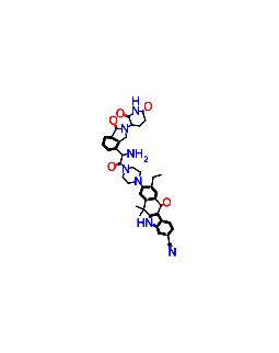 CCc1cc2c(cc1N1CCN(C(=O)C(N)c3cccc4c3CN(C3CCC(=O)NC3=O)C4=O)CC1)C(C)(C)c1[nH]c3cc(C#N)ccc3c1C2=O